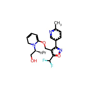 CCC[C@@H](CO)N1CC=CC=C1OCc1c(-c2ccc(C)nc2)noc1C(F)F